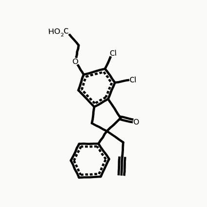 C#CCC1(c2ccccc2)Cc2cc(OCC(=O)O)c(Cl)c(Cl)c2C1=O